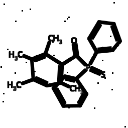 Cc1cc(C)c(C(=O)P(=S)(c2ccccc2)c2ccccc2)c(C)c1C